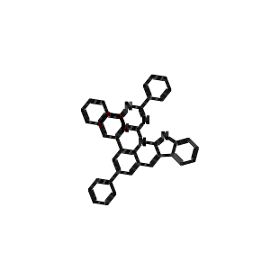 c1ccc(-c2cc(-c3ccccc3)c3c(c2)cc2c4ccccc4nc-2n3-c2nc(-c3ccccc3)nc(-c3ccccc3)n2)cc1